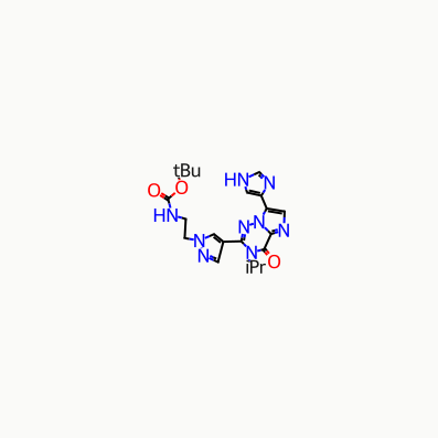 CC(C)n1c(-c2cnn(CCNC(=O)OC(C)(C)C)c2)nn2c(-c3c[nH]cn3)cnc2c1=O